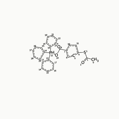 CC(=O)Sc1ccc(C(=O)O[PH](c2ccccc2)(c2ccccc2)c2ccccc2)cc1